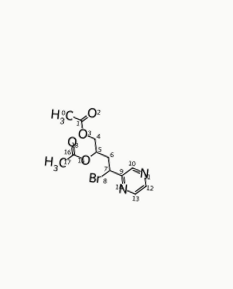 CC(=O)OCC(CC(Br)c1cnccn1)OC(C)=O